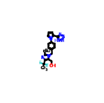 CCCCc1nc(C(F)(F)C(F)(F)F)c(CO)n1Cc1ccc(-n2cccc2-c2nnn[nH]2)cc1